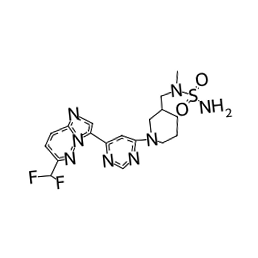 CN(CC1CCCN(c2cc(-c3cnc4ccc(C(F)F)nn34)ncn2)C1)S(N)(=O)=O